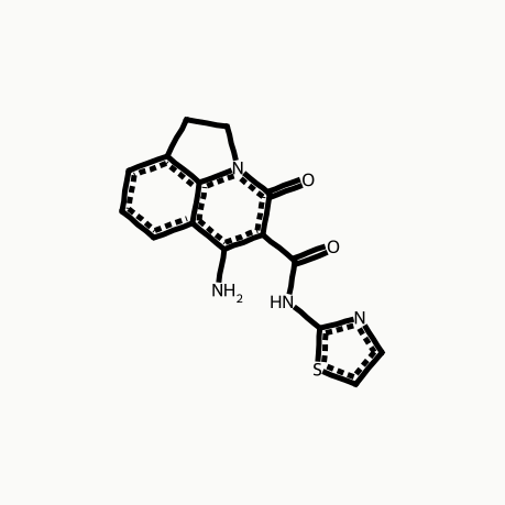 Nc1c(C(=O)Nc2nccs2)c(=O)n2c3c(cccc13)CC2